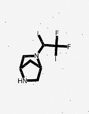 FC(F)(I)C(I)N1CC2CC1CN2